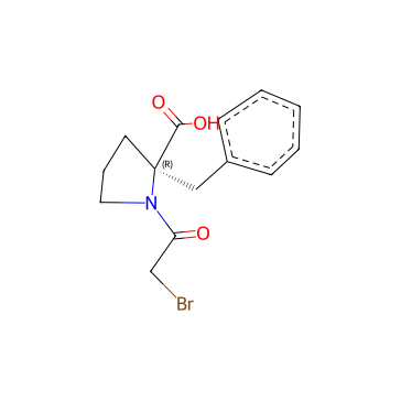 O=C(CBr)N1CCC[C@@]1(Cc1ccccc1)C(=O)O